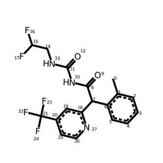 Cc1ccccc1C(C(=O)NC(=O)NCC(F)F)c1cc(C(F)(F)F)ccn1